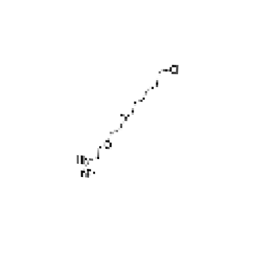 CCCNCCOCCOCCCCCCCl